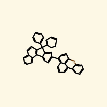 C1=CCCC(C2(c3ccccc3)c3cc(-c4ccc5c6c(cccc46)-c4ccccc4S5)ccc3-c3c2ccc2ccccc32)=C1